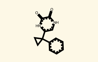 O=c1[nH]cc(C2(c3ccccc3)CC2)[nH]c1=O